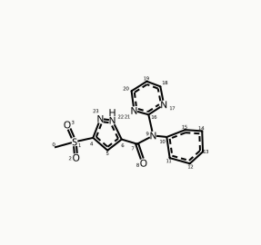 CS(=O)(=O)c1cc(C(=O)N(c2ccccc2)c2ncccn2)[nH]n1